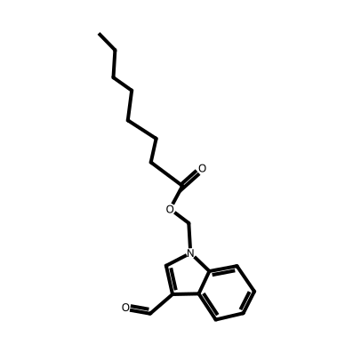 CCCCCCCC(=O)OCn1cc(C=O)c2ccccc21